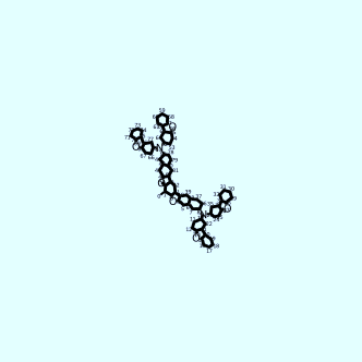 Cc1c2oc3cc4cc(N(c5ccc6oc7ccccc7c6c5)c5ccc6oc7ccccc7c6c5)ccc4cc3c2cc2c1oc1cc3cc(N(c4ccc5oc6ccccc6c5c4)c4ccc5oc6ccccc6c5c4)ccc3cc12